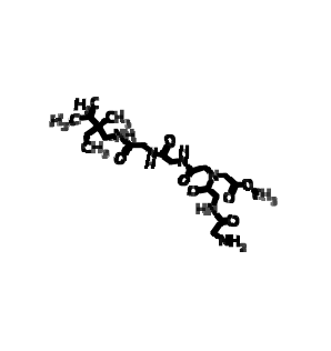 C=C(C)C(C)(CC)CNC(=O)CNC(=O)CNC(=O)CN(CC(=O)OC)C(=O)CNC(=O)CN